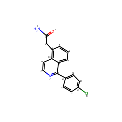 NC(=O)Cc1cccc2c(-c3ccc(Cl)cc3)nccc12